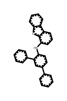 c1ccc(-c2ccc(Nc3cccc4c3oc3ccccc34)c(-c3ccccc3)c2)cc1